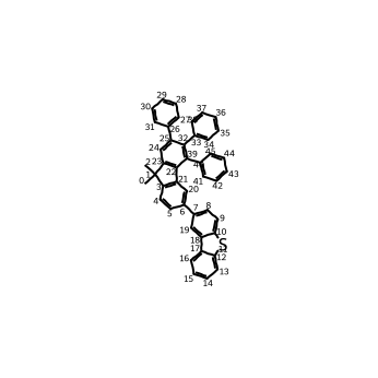 CC1(C)c2ccc(-c3ccc4sc5ccccc5c4c3)cc2-c2c1cc(-c1ccccc1)c(-c1ccccc1)c2-c1ccccc1